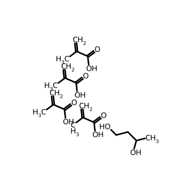 C=C(C)C(=O)O.C=C(C)C(=O)O.C=C(C)C(=O)O.C=C(C)C(=O)O.CC(O)CCO